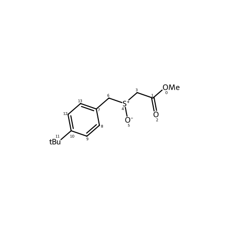 COC(=O)C[S+]([O-])Cc1ccc(C(C)(C)C)cc1